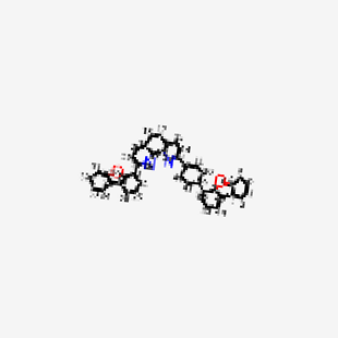 c1ccc2c(c1)oc1c(-c3ccc(-c4ccc5ccc6ccc(-c7cccc8c7oc7ccccc78)nc6c5n4)cc3)cccc12